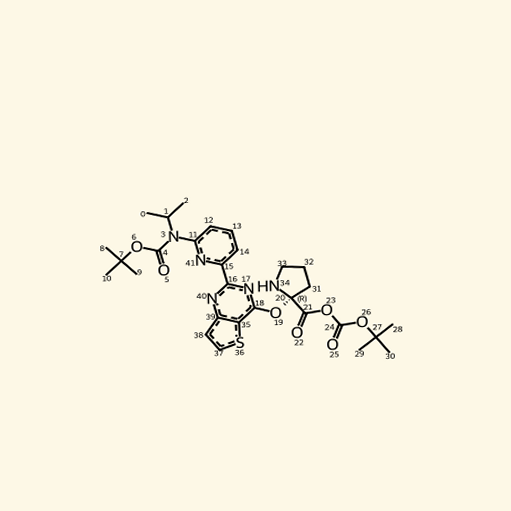 CC(C)N(C(=O)OC(C)(C)C)c1cccc(-c2nc(O[C@@]3(C(=O)OC(=O)OC(C)(C)C)CCCN3)c3sccc3n2)n1